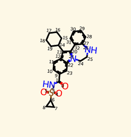 O=C(NS(=O)(=O)C1CC1)c1ccc2c(C3CCCCC3)c3n(c2c1)CCNc1ccccc1-3